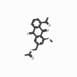 COc1cc(COC(C)=O)cc2c1C(=O)c1c(C(C)=O)cccc1C2=O